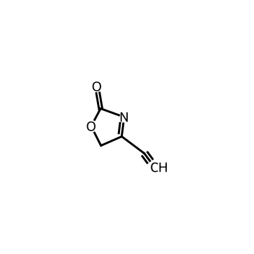 C#CC1=NC(=O)OC1